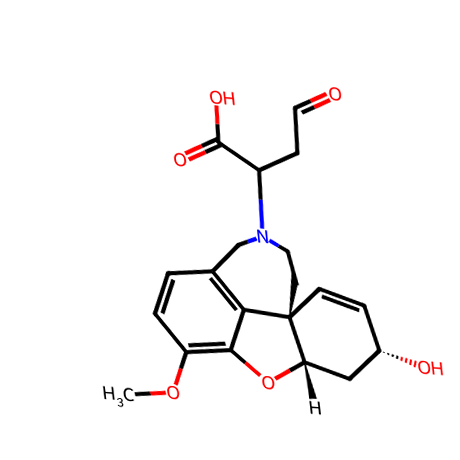 COc1ccc2c3c1O[C@H]1C[C@@H](O)C=C[C@@]31CCN(C(CC=O)C(=O)O)C2